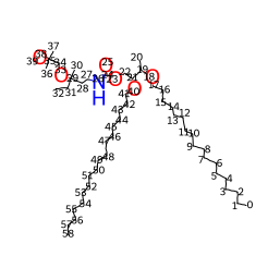 CCCCCCCCCCCCCCCCCCOC(C)C(COC(=O)NCCC(C)(CC)OCC(C)(C)OC)OCCCCCCCCCCCCCCCCCC